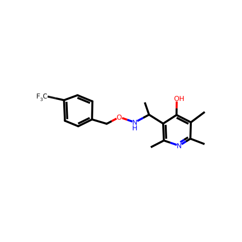 Cc1nc(C)c(C(C)NOCc2ccc(C(F)(F)F)cc2)c(O)c1C